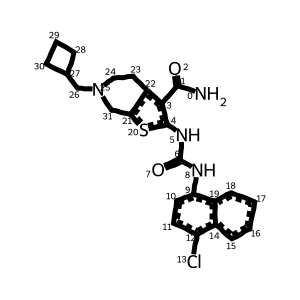 NC(=O)c1c(NC(=O)Nc2ccc(Cl)c3ccccc23)sc2c1CCN(CC1CCC1)C2